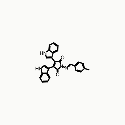 Cc1ccc(/C=N/N2C(=O)C(c3c[nH]c4ccccc34)=C(c3c[nH]c4ccccc34)C2=O)cc1